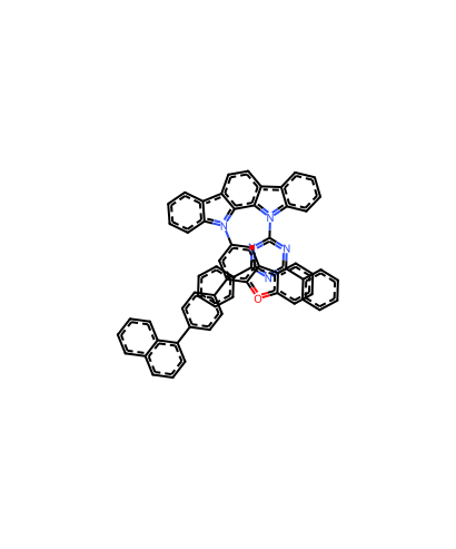 c1ccc(-c2nc(-c3ccccc3)nc(-n3c4ccccc4c4ccc5c6ccccc6n(-c6cc(-c7ccc(-c8cccc9ccccc89)cc7)c7oc8ccccc8c7c6)c5c43)n2)cc1